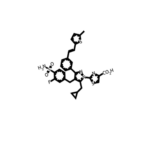 Cc1ccc(C=Cc2cccc(-c3nn(-c4nc(C(=O)O)cs4)c(CC4CC4)c3Cc3ccc(S(N)(=O)=O)c(F)c3)c2)s1